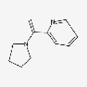 C=C(c1ccccn1)N1CCCC1